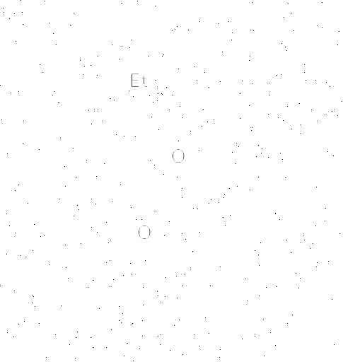 C=CC(=O)OC(C=C)CC